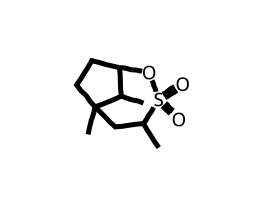 CC1C2CCC1(C)CC(C)S(=O)(=O)O2